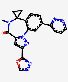 CN1C(=O)c2cc(-c3nnco3)nn2-c2cc(-c3cccnn3)ccc2C12CC2